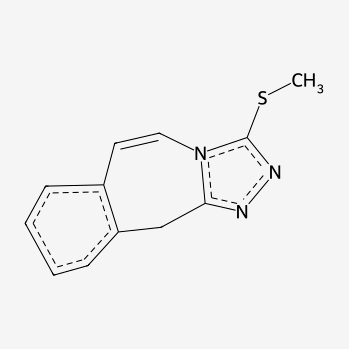 CSc1nnc2n1C=Cc1ccccc1C2